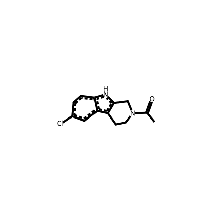 CC(=O)N1CCc2c([nH]c3ccc(Cl)cc23)C1